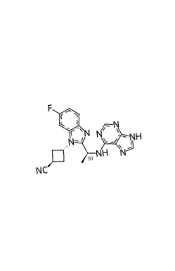 C[C@H](Nc1ncnc2[nH]cnc12)c1nc2ccc(F)cc2n1[C@H]1C[C@H](C#N)C1